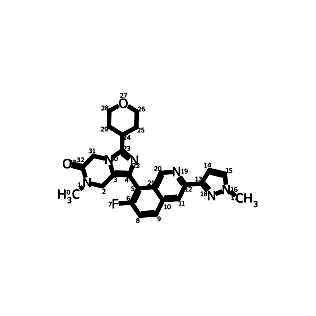 CN1Cc2c(-c3c(F)ccc4cc(-c5ccn(C)n5)ncc34)nc(C3CCOCC3)n2CC1=O